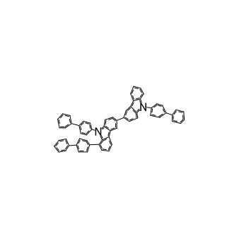 c1ccc(-c2ccc(-c3cccc4c5cc(-c6ccc7c(c6)c6ccccc6n7-c6ccc(-c7ccccc7)cc6)ccc5n(-c5ccc(-c6ccccc6)cc5)c34)cc2)cc1